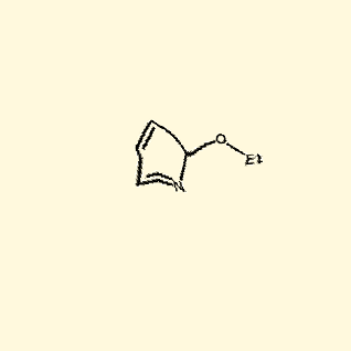 CCO[C]1C=CC=N1